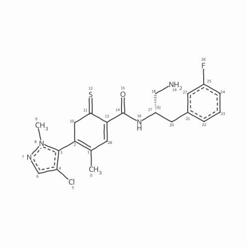 CC1=C(c2c(Cl)cnn2C)CC(=S)C(C(=O)N[C@H](CN)Cc2cccc(F)c2)=C1